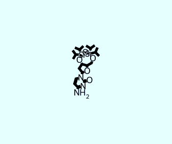 CC(C)[Si]1(C(C)C)OCC2OC(n3ccc(N)nc3=O)CC2O[Si](C(C)C)(C(C)C)O1